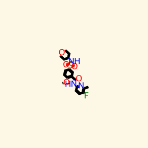 COc1ccc(S(=O)(=O)NC2CCOCC2)cc1C(=O)Nc1ccc(F)c(C)n1